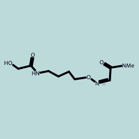 CNC(=O)/C=N\OCCCCNC(=O)CO